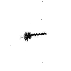 CCCCCCCCCCCCc1ccc(C(=O)O)c(C(=O)O)c1C